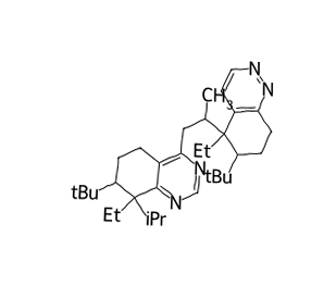 CCC1(C(C)C)c2ncnc(CC(C)C3(CC)c4ccnnc4CCC3C(C)(C)C)c2CCC1C(C)(C)C